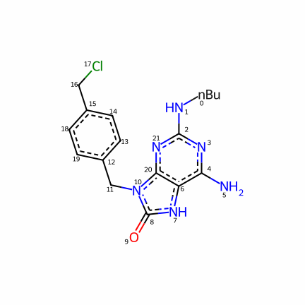 CCCCNc1nc(N)c2[nH]c(=O)n(Cc3ccc(CCl)cc3)c2n1